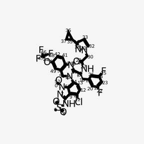 Cn1nc(NS(C)(=O)=O)c2c(Cl)ccc(-n3c([C@H](Cc4cc(F)cc(F)c4)NC(=O)Cn4ccc(C5CC5)n4)nc4ccc(OC(F)(F)F)cc4c3=O)c21